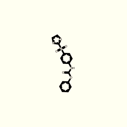 O=C(Nc1ccc(S(=O)(=O)c2nccs2)cc1)Oc1ccccc1